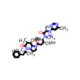 CC[C@H](C)[C@@H]([C@@H](CC(=O)N1CCC[C@H]1[C@H](OC)[C@@H](C)C(=O)N[C@@](C)(Cc1ccccc1)C(=O)O)OC)N(C)C(=O)[C@@H](Nc1cc(C)ncn1)C(C)C